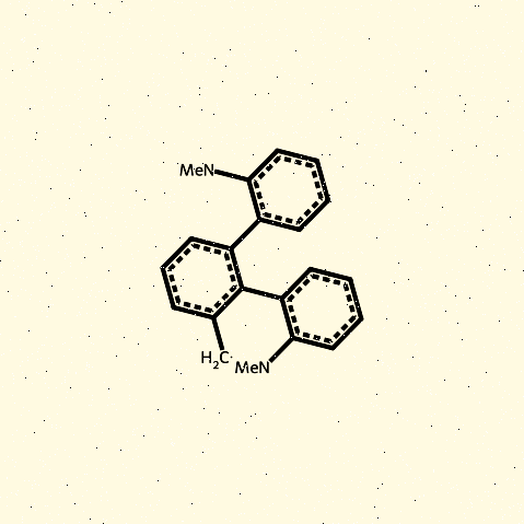 [CH2]c1cccc(-c2ccccc2NC)c1-c1ccccc1NC